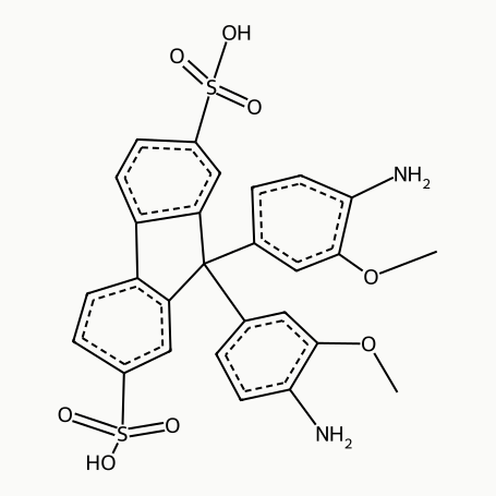 COc1cc(C2(c3ccc(N)c(OC)c3)c3cc(S(=O)(=O)O)ccc3-c3ccc(S(=O)(=O)O)cc32)ccc1N